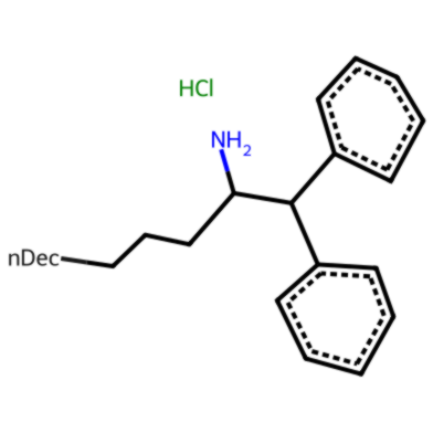 CCCCCCCCCCCCCC(N)C(c1ccccc1)c1ccccc1.Cl